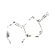 O=C1C=CN2C=CC=CC=C2C1